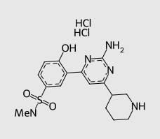 CNS(=O)(=O)c1ccc(O)c(-c2cc(C3CCCNC3)nc(N)n2)c1.Cl.Cl